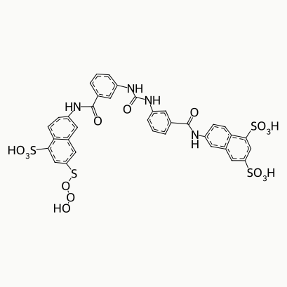 O=C(Nc1cccc(C(=O)Nc2ccc3c(S(=O)(=O)O)cc(SOOO)cc3c2)c1)Nc1cccc(C(=O)Nc2ccc3c(S(=O)(=O)O)cc(S(=O)(=O)O)cc3c2)c1